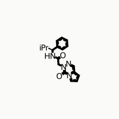 CC(C)[C@H](NC(=O)Cn1ncc2cccn2c1=O)c1ccccc1